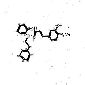 COc1ccc(/C=C/C(=O)Nc2ccccc2OCCc2ccccc2)cc1O